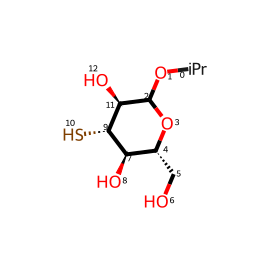 CC(C)OC1O[C@H](CO)[C@@H](O)[C@H](S)[C@H]1O